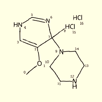 COC1=CNC=NC1(C)N1CCNCC1.Cl.Cl